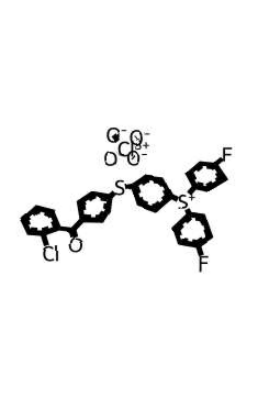 O=C(c1ccc(Sc2ccc([S+](c3ccc(F)cc3)c3ccc(F)cc3)cc2)cc1)c1ccccc1Cl.[O-][Cl+3]([O-])([O-])[O-]